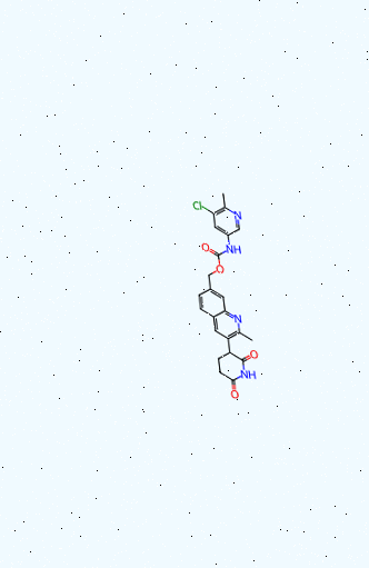 Cc1ncc(NC(=O)OCc2ccc3cc(C4CCC(=O)NC4=O)c(C)nc3c2)cc1Cl